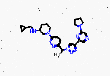 CC(c1ccc(N2CCC[C@@H](NCC3CC3)C2)nn1)n1cc(-c2cncc(N3CCCC3)n2)nn1